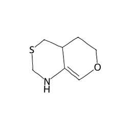 C1=C2NCSCC2CCO1